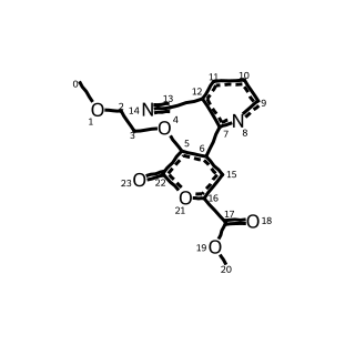 COCCOc1c(-c2ncccc2C#N)cc(C(=O)OC)oc1=O